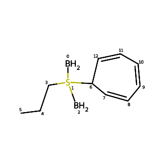 BS(B)(CCC)C1C=CC=CC=C1